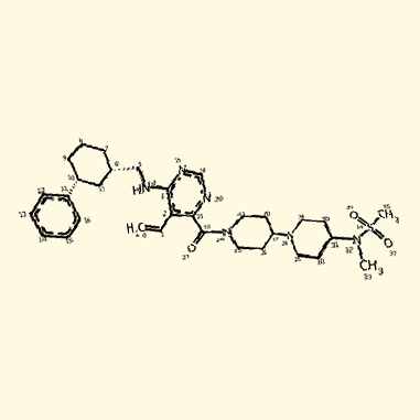 C=Cc1c(NC[C@H]2CCC[C@@H](c3ccccc3)C2)ncnc1C(=O)N1CCC(N2CCC(N(C)S(C)(=O)=O)CC2)CC1